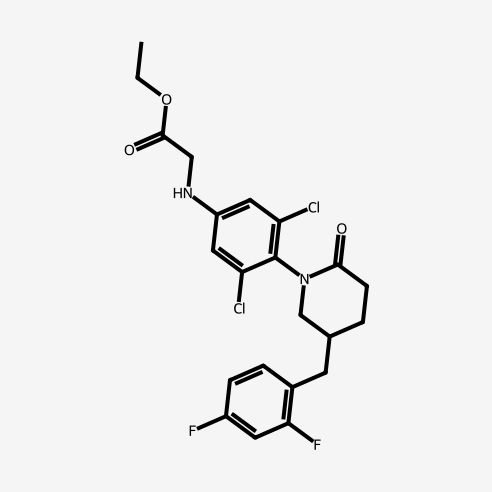 CCOC(=O)CNc1cc(Cl)c(N2CC(Cc3ccc(F)cc3F)CCC2=O)c(Cl)c1